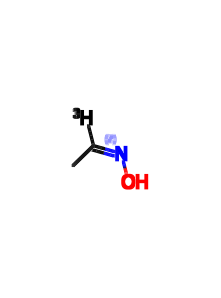 [3H]/C(C)=N/O